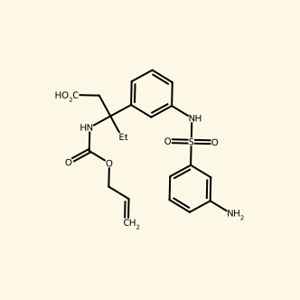 C=CCOC(=O)NC(CC)(CC(=O)O)c1cccc(NS(=O)(=O)c2cccc(N)c2)c1